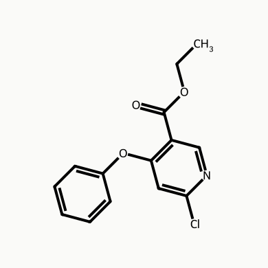 CCOC(=O)c1cnc(Cl)cc1Oc1ccccc1